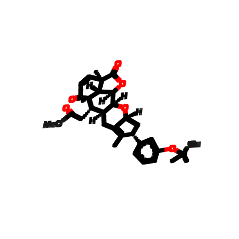 COC(=O)C[C@H]1[C@@H]2CC3=C(C)[C@@H](c4cccc(O[Si](C)(C)C(C)(C)C)c4)C[C@H]3O[C@@H]2[C@@H]2OC(=O)[C@]3(C)C=CC(=O)[C@@]1(C)[C@@H]23